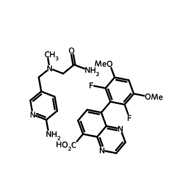 CN(CC(N)=O)Cc1ccc(N)nc1.COc1cc(OC)c(F)c(-c2ccc(C(=O)O)c3nccnc23)c1F